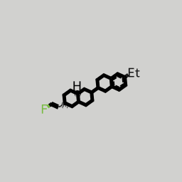 CCc1ccc2c(c1)CCC(C1CCC3C[C@H](C=CF)CC[C@@H]3C1)C2